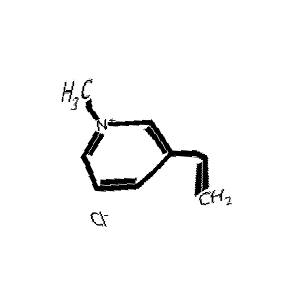 C=Cc1ccc[n+](C)c1.[Cl-]